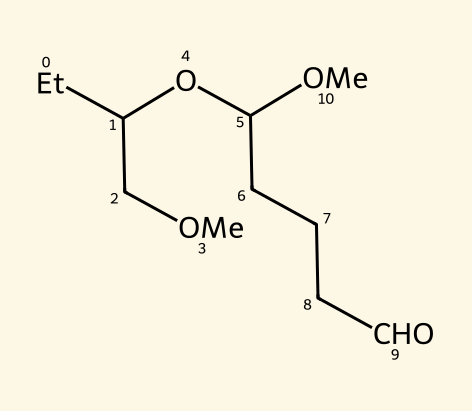 CCC(COC)OC(CCCC=O)OC